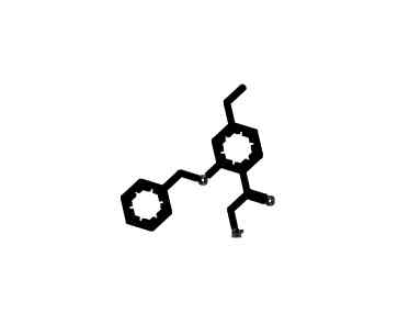 CCc1ccc(C(=O)CBr)c(OCc2ccccc2)c1